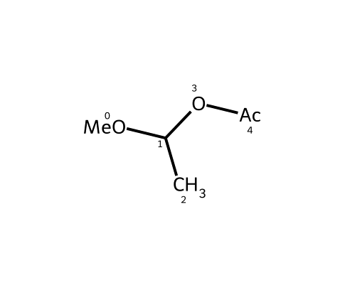 COC(C)OC(C)=O